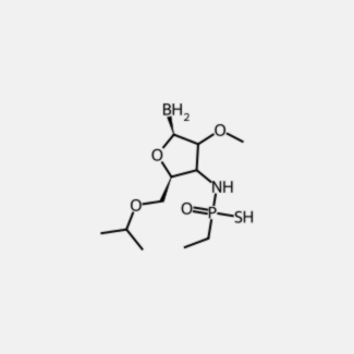 B[C@@H]1O[C@H](COC(C)C)C(NP(=O)(S)CC)C1OC